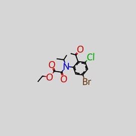 CCOC(=O)C(=O)N(c1cc(Br)cc(Cl)c1C(C)=O)C(C)C